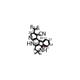 CC1(C)CC2=C(C(=O)N1)[C@](C)(c1ccccc1)c1c(ncc(C(F)F)c1C#N)N2